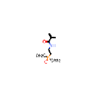 C=C(C)C(=O)NCCP(=O)(OC)OC